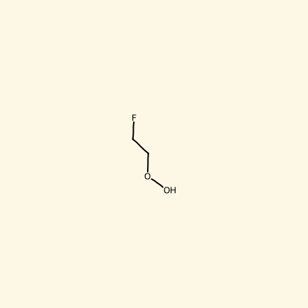 OOCCF